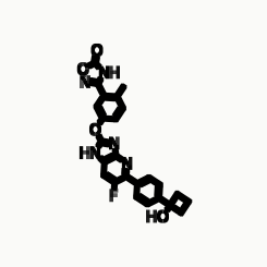 Cc1ccc(Oc2nc3nc(-c4ccc(C5(O)CCC5)cc4)c(F)cc3[nH]2)cc1-c1noc(=O)[nH]1